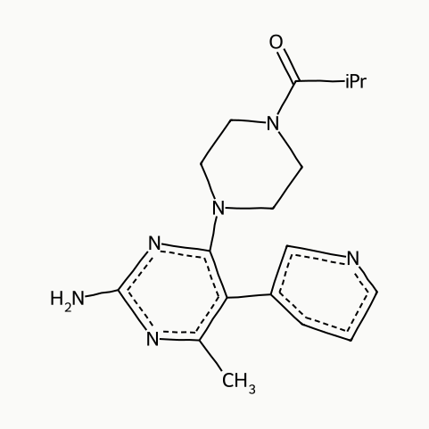 Cc1nc(N)nc(N2CCN(C(=O)C(C)C)CC2)c1-c1cccnc1